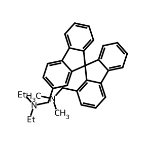 CCN(CC)Cc1ccc2c(c1)C1(c3ccccc3-2)c2ccccc2-c2cccc(CN(C)C)c21